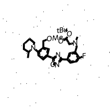 COCc1cc(-c2nc(-c3ccc(F)c(CN(C)CC(=O)OC(C)(C)C)c3)no2)ccc1N1CCCCC1C